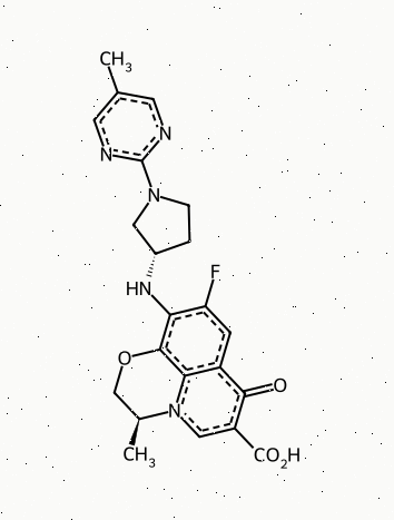 Cc1cnc(N2CC[C@H](Nc3c(F)cc4c(=O)c(C(=O)O)cn5c4c3OC[C@@H]5C)C2)nc1